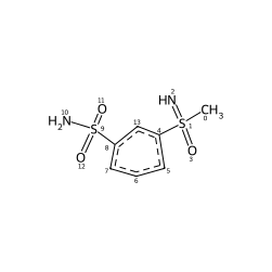 CS(=N)(=O)c1cccc(S(N)(=O)=O)c1